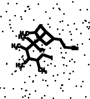 CCC(C)CCC1CC2(C(C)(C(C)C)C(C)C(C)C(C)CI)C(C)CC12